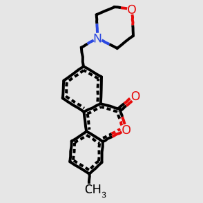 Cc1ccc2c(c1)oc(=O)c1cc(CN3CCOCC3)ccc12